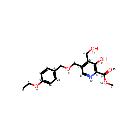 CCOc1ccc(COCc2cnc(C(=O)OC)c(O)c2CO)cc1